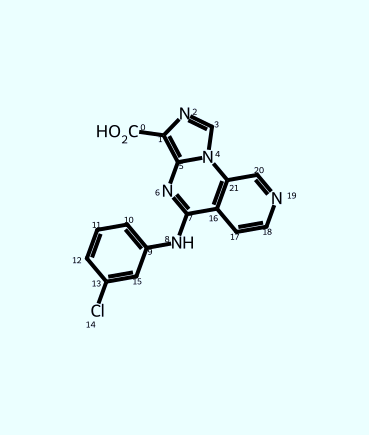 O=C(O)c1ncn2c1nc(Nc1cccc(Cl)c1)c1ccncc12